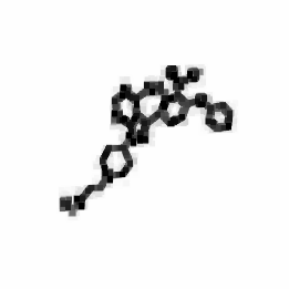 NCCN1CCC(n2nc(-c3ccc(Oc4ccccc4)c([N+](=O)[O-])c3)c3c(N)ncnc32)CC1